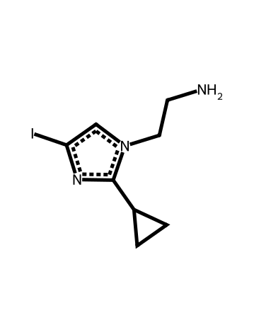 NCCn1cc(I)nc1C1CC1